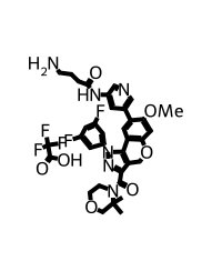 COc1cc2c(cc1-c1cncc(NC(=O)CCCN)c1)-c1c(c(C(=O)N3CCOCC3(C)C)nn1-c1cc(F)cc(F)c1)CO2.O=C(O)C(F)(F)F